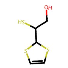 OCC(S)C1SC=CS1